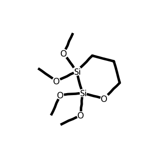 CO[Si]1(OC)CCCO[Si]1(OC)OC